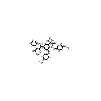 CO/C(C=N)=C(/Nc1ccccc1)c1cc(OC2CCN(C)CC2)c2c(c1)C1(CCC1)C(=O)N2Cc1ccc(OC)cc1